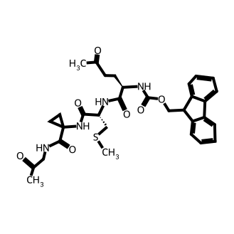 CSC[C@@H](NC(=O)[C@@H](CCC(C)=O)NC(=O)OCC1c2ccccc2-c2ccccc21)C(=O)NC1(C(=O)NCC(C)=O)CC1